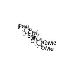 COc1ccc(-n2ccnc(Sc3ccc(C(C)C)cc3)c2=O)cc1OC